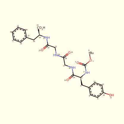 CC(C)(C)OC(=O)N[C@@H](Cc1ccc(O)cc1)C(=O)NCC(=O)NCC(=O)N[C@@H](Cc1ccccc1)C(=O)O